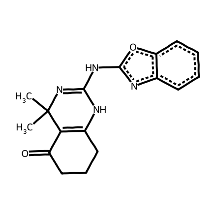 CC1(C)N=C(Nc2nc3ccccc3o2)NC2=C1C(=O)CCC2